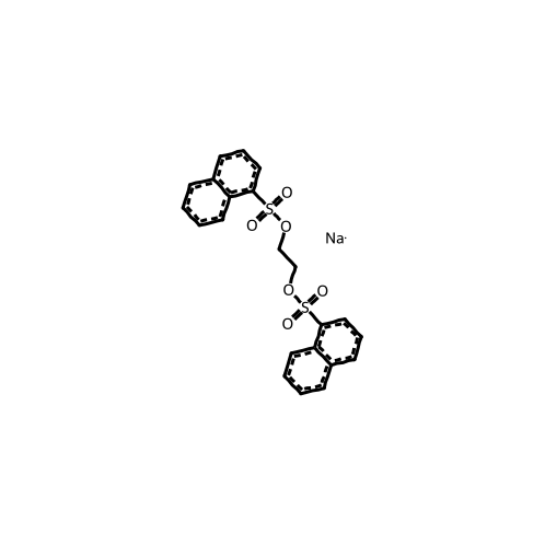 O=S(=O)(OCCOS(=O)(=O)c1cccc2ccccc12)c1cccc2ccccc12.[Na]